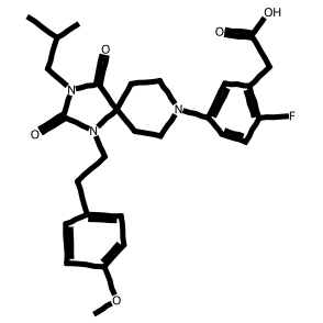 COc1ccc(CCN2C(=O)N(CC(C)C)C(=O)C23CCN(c2ccc(F)c(CC(=O)O)c2)CC3)cc1